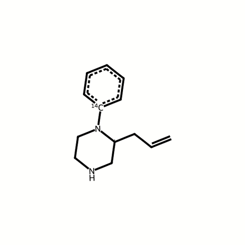 C=CC[C]1CNCCN1[14c]1ccccc1